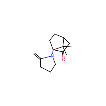 C=C1CCCN1C12CCC(CC1=O)C2(C)C